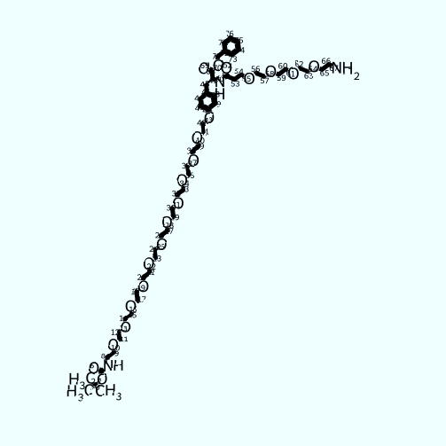 CC(C)(C)OC(=O)NCCOCCOCCOCCOCCOCCOCCOCCOCCOCCOCCOCCOc1ccc(C[C@H](NC(=O)CCOCCOCCOCCOCCN)C(=O)OCc2ccccc2)cc1